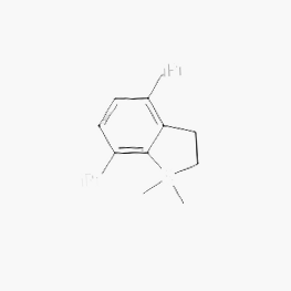 CC(C)c1ccc(C(C)C)c2c1CCS2(C)C